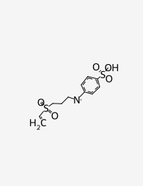 C=CS(=O)(=O)CCC[N]c1ccc(S(=O)(=O)O)cc1